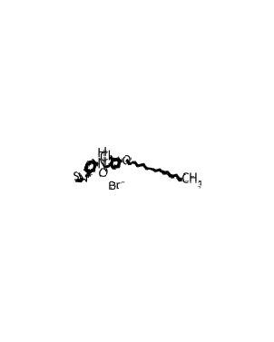 CCCCCCCCCCCCCCOc1ccc(C(=O)Nc2cccc(C[n+]3ccsc3)c2)c(Cl)c1.[Br-]